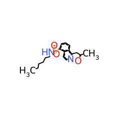 CCCCCCNS(=O)(=O)c1cccc2c(CC(C)=O)nccc12